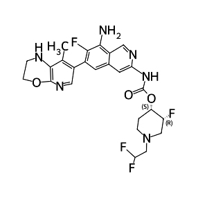 Cc1c(-c2cc3cc(NC(=O)O[C@H]4CCN(CC(F)F)C[C@H]4F)ncc3c(N)c2F)cnc2c1NCCO2